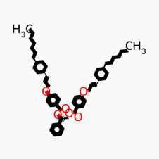 CCCCCCC[C@H]1CC[C@H](C=CCOc2ccc(C(=O)OC[C@H](OC(=O)c3ccc(OCC=C[C@H]4CC[C@H](CCCCCCC)CC4)cc3)c3ccccc3)cc2)CC1